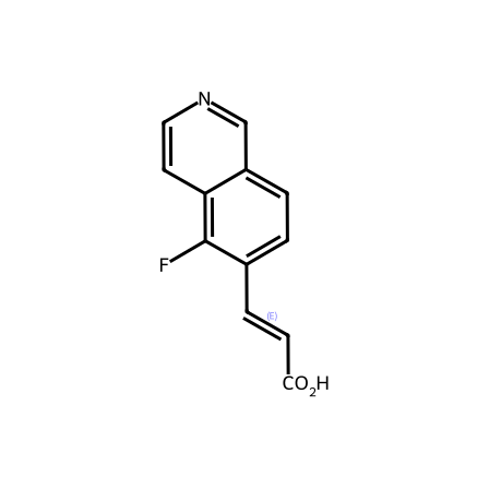 O=C(O)/C=C/c1ccc2cnccc2c1F